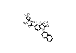 CC1(NC(=O)c2ccc3c(c2)C(C)(C)C(=O)N3c2cnc3ccccc3c2)CS(=O)(=O)C1